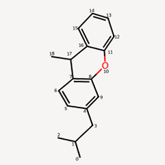 CC(C)Cc1ccc2c(c1)Oc1ccccc1C2C